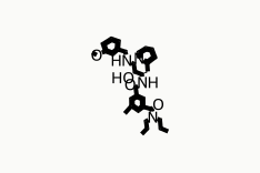 CCCN(CCC)C(=O)c1cc(C)cc(C(=O)N[C@@H](Cc2ccccn2)[C@H](O)CNCc2cccc(OC)c2)c1